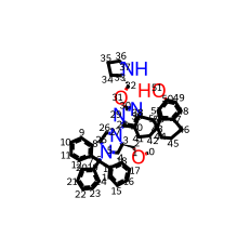 COC[C@H]1CN(C(c2ccccc2)(c2ccccc2)c2ccccc2)CCN1c1nc(OC[C@@H]2CCCN2)nc2c1CCC1(CCCc3ccc(O)cc31)C2